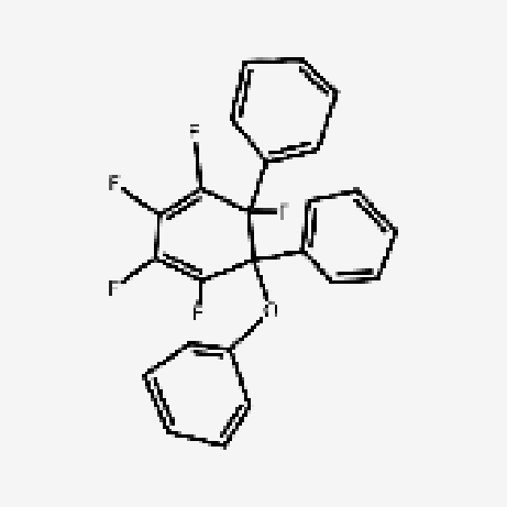 FC1=C(F)C(F)(c2ccccc2)C(Oc2ccccc2)(c2ccccc2)C(F)=C1F